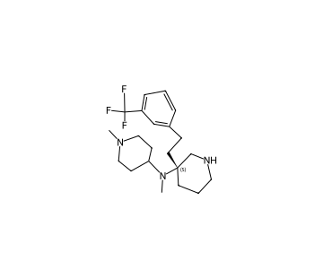 CN1CCC(N(C)[C@@]2(CCc3cccc(C(F)(F)F)c3)CCCNC2)CC1